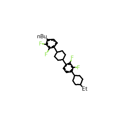 CCCCc1ccc(C2CCC(c3ccc(C4CCC(CC)CC4)c(F)c3F)CC2)c(F)c1F